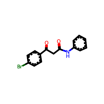 O=C(CC(=O)c1ccc(Br)cc1)Nc1ccccc1